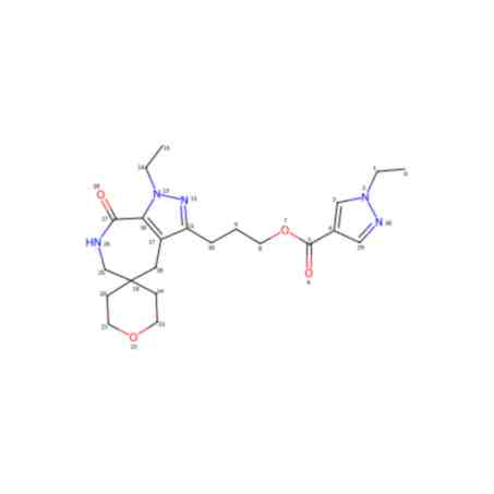 CCn1cc(C(=O)OCCCc2nn(CC)c3c2CC2(CCOCC2)CNC3=O)cn1